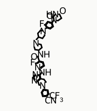 N#Cc1ccc(N2CCc3c(ncnc3Nc3ccc(C(=O)NC4CCN(CC5CCN(c6ccc(N7CCC(=O)NC7=O)cc6F)CC5)CC4)c(F)n3)C2)cc1C(F)(F)F